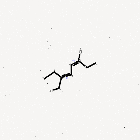 CC/C(Cl)=C\C=C(/CC)CI